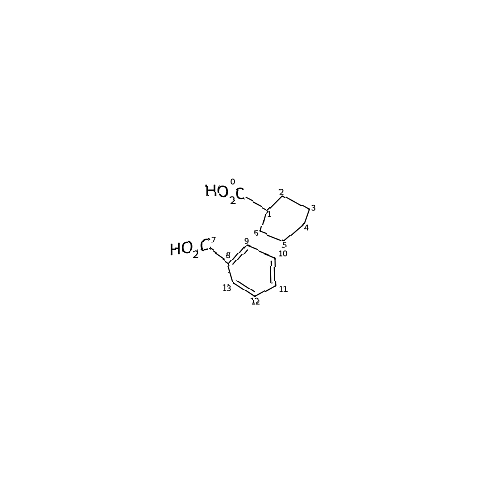 O=C(O)C1CCCCC1.O=C(O)c1ccccc1